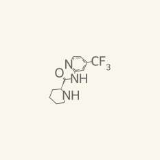 O=C(Nc1cc(C(F)(F)F)ccn1)[C@@H]1CCCCN1